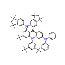 CC(C)(C)c1cc(N2c3cc(N(c4ccccc4)c4ccccc4)ccc3B3c4cc5c(cc4N(c4ccc6c(c4)C(C)(C)CC6(C)C)c4cc(C(C)(C)C)cc2c43)C(C)(C)CC5(C)C)cc(C(C)(C)C)c1